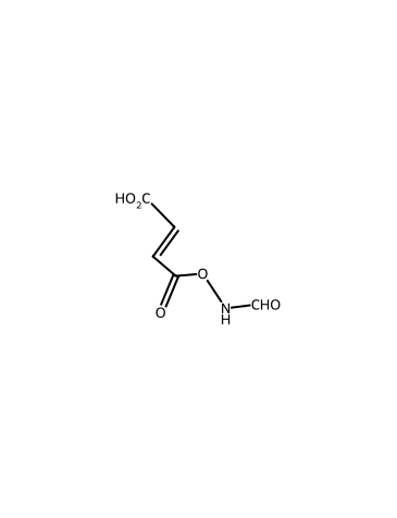 O=CNOC(=O)/C=C/C(=O)O